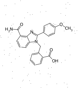 COc1ccc(-c2nc3c(C(N)=O)cccc3n2Cc2ccccc2C(=O)O)cc1